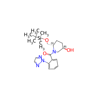 CC(C)(C)[Si](C)(C)OC[C@@H]1CC[C@@H](O)CN1C(=O)c1ccccc1-n1nccn1